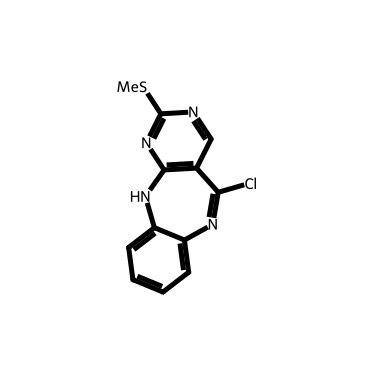 CSc1ncc2c(n1)Nc1ccccc1N=C2Cl